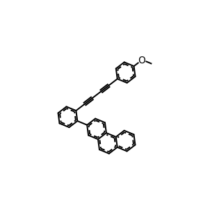 COc1ccc(C#CC#Cc2ccccc2-c2ccc3c(ccc4ccccc43)c2)cc1